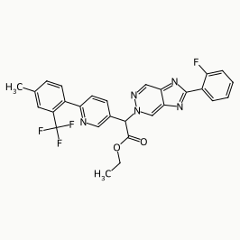 CCOC(=O)C(c1ccc(-c2ccc(C)cc2C(F)(F)F)nc1)n1cc2nc(-c3ccccc3F)nc-2cn1